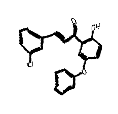 O=C(C=Cc1cccc(Cl)c1)c1cc(Oc2ccccc2)ccc1O